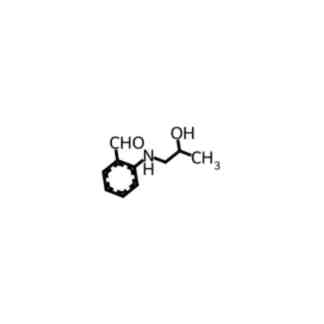 CC(O)CNc1ccccc1C=O